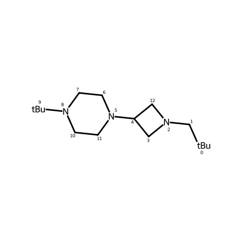 CC(C)(C)CN1CC(N2CCN(C(C)(C)C)CC2)C1